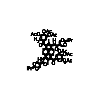 CC(=O)OCC(OC(C)=O)C(CN(C)C(=O)c1c(I)c(NC(=O)C2COC(C(C)C)OC2)c(I)c(-c2c(I)c(NC(=O)C3COC(C(C)C)OC3)c(I)c(C(=O)N(C)CC(OC(C)=O)C(COC(C)=O)OC(C)=O)c2I)c1I)OC(C)=O